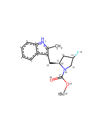 Cc1[nH]c2ccccc2c1C[C@H]1CC(F)CN1C(=O)OC(C)(C)C